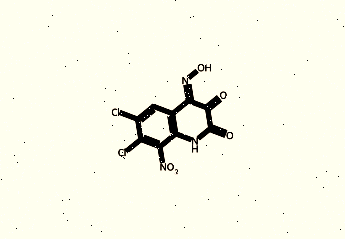 O=C1Nc2c(cc(Cl)c(Cl)c2[N+](=O)[O-])/C(=N/O)C1=O